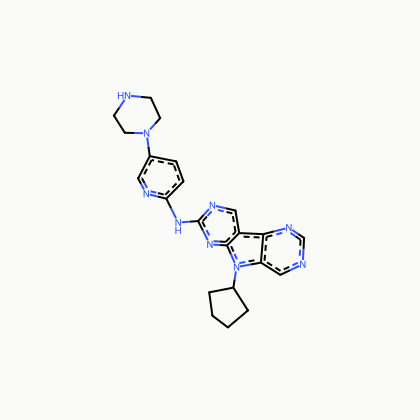 c1ncc2c(n1)c1cnc(Nc3ccc(N4CCNCC4)cn3)nc1n2C1CCCC1